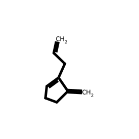 C=CCC1=CCCC1=C